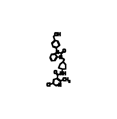 Cc1ncc(Cl)cc1C(=O)N[C@H]1CC[C@H](Cn2c(=O)n(-c3ccc(CO)cc3)c3ccccc32)CC1